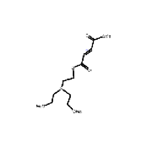 COCCN(CCOC)CCOC(=O)/C=C/C(=O)OC